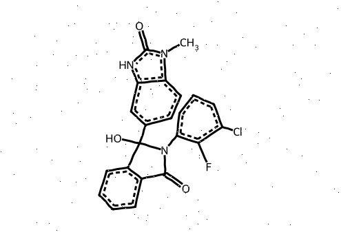 Cn1c(=O)[nH]c2cc(C3(O)c4ccccc4C(=O)N3c3cccc(Cl)c3F)ccc21